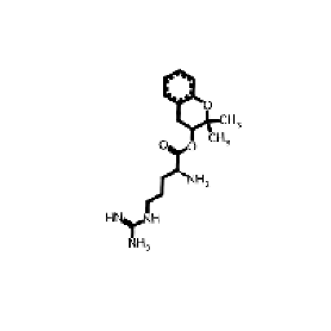 CC1(C)Oc2ccccc2CC1OC(=O)[C@@H](N)CCCNC(=N)N